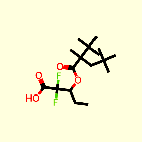 CCC(OC(=O)C(C)(CC(C)(C)C)C(C)(C)C)C(F)(F)C(=O)O